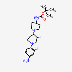 CC(C)(C)OC(=O)NC1CCN(C2CCN(c3ccc(N)cc3F)CC2F)CC1